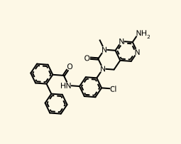 CN1C(=O)N(c2cc(NC(=O)c3ccccc3-c3ccccc3)ccc2Cl)Cc2cnc(N)nc21